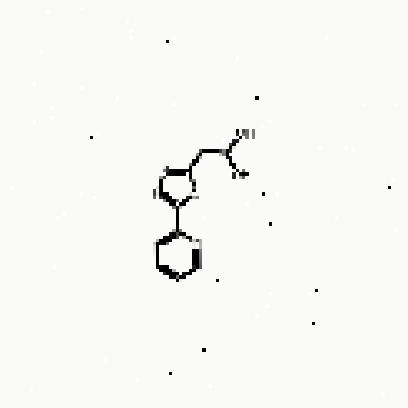 OC(O)Cc1nnc(-c2ccccn2)s1